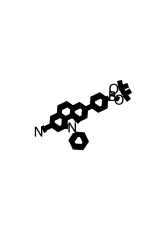 CC1(C)OB(c2ccc(-c3cc4ccc5cc(C#N)cc6c5c4c(c3)n6-c3ccccc3)cc2)OC1(C)C